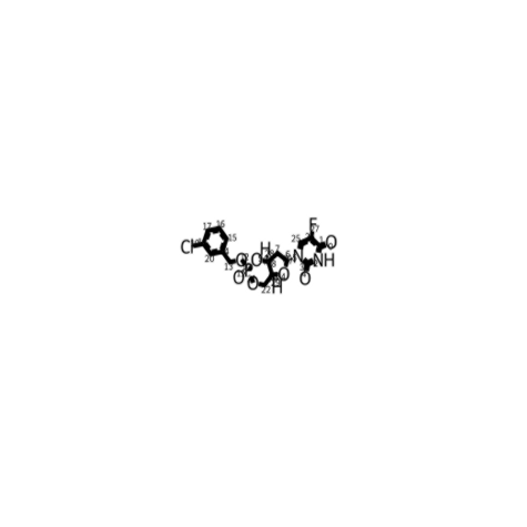 O=c1[nH]c(=O)n([C@H]2C[C@@H]3OP(=O)(OCc4cccc(Cl)c4)OC[C@H]3O2)cc1F